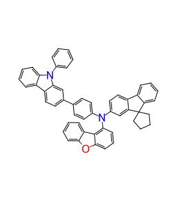 c1ccc(-n2c3ccccc3c3ccc(-c4ccc(N(c5ccc6c(c5)C5(CCCC5)c5ccccc5-6)c5cccc6oc7ccccc7c56)cc4)cc32)cc1